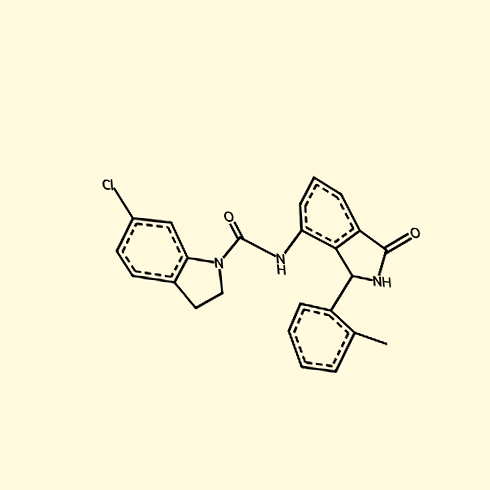 Cc1ccccc1C1NC(=O)c2cccc(NC(=O)N3CCc4ccc(Cl)cc43)c21